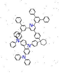 c1ccc(-c2cc(-c3ccccc3)cc(-c3cc(-c4ccc(C5(c6ccc(-n7c8ccc(N(c9ccccc9)c9ccccc9)cc8c8cc(N(c9ccccc9)c9ccccc9)ccc87)cc6)CCCCC5)cc4)cc(-c4cc(-c5ccccc5)cc(-c5ccccc5)c4)n3)c2)cc1